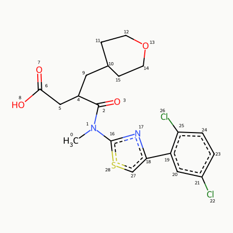 CN(C(=O)C(CC(=O)O)CC1CCOCC1)c1nc(-c2cc(Cl)ccc2Cl)cs1